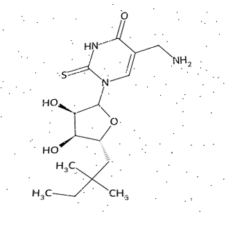 CCC(C)(C)C[C@H]1OC(n2cc(CN)c(=O)[nH]c2=S)[C@H](O)[C@@H]1O